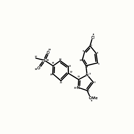 COc1cn(-c2ccc(Cl)cc2)c(-c2ccc(S(C)(=O)=O)cc2)n1